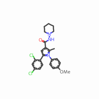 COc1ccc(-n2c(-c3ccc(Cl)cc3Cl)cc(C(=O)NN3CCCCC3)c2C)cc1